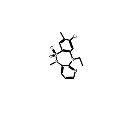 CCN1c2cc(Cl)c(C)cc2S(=O)(=O)N(C)c2cccnc21